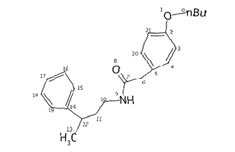 CCCCOc1ccc(CC(=O)NCCC(C)c2ccccc2)cc1